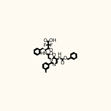 Cc1cccc(-c2ncc(NC(=O)OCc3ccccc3)c(=O)n2CC(=O)N[C@@H](Cc2ccccc2)C(=O)C(F)(F)C(=O)O)c1